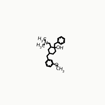 COc1cccc(CC2CCC(O)(Cc3ccccc3)C(CN(C)C)C2)c1